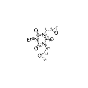 [CH2]Cn1c(=O)n(CC2CO2)c(=O)n(CC2CO2)c1=O